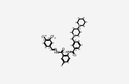 O=C(Nc1ccc(I)cc1C(=O)NN=Cc1ccc(Cl)c(C(F)(F)F)c1)c1cccc(CN2CCC(N3CCCCC3)CC2)c1